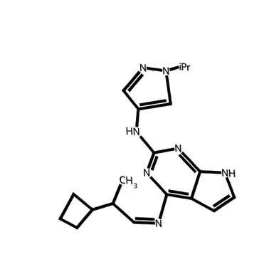 CC(/C=N\c1nc(Nc2cnn(C(C)C)c2)nc2[nH]ccc12)C1CCC1